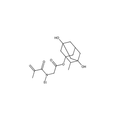 C=C(C)C(=O)N(CC)CC(=O)OC12CC3CC(O)(CC(O)(C3)C1C)C2